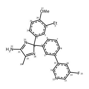 CCc1cc(C2(c3cccc(-c4cncc(F)c4)c3)N=C(C)C(N)=N2)ccc1OC